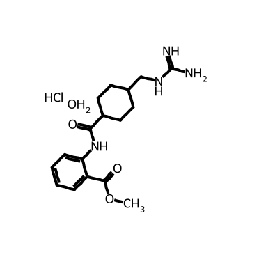 COC(=O)c1ccccc1NC(=O)C1CCC(CNC(=N)N)CC1.Cl.O